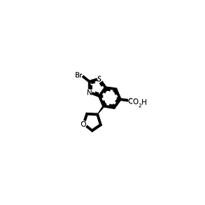 O=C(O)c1cc([C@H]2CCOC2)c2nc(Br)sc2c1